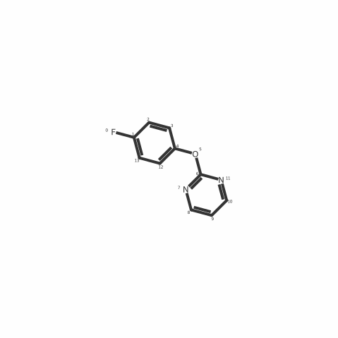 Fc1ccc(Oc2ncccn2)cc1